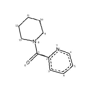 O=C(c1cc[c]cn1)N1CCCCC1